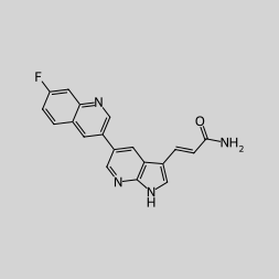 NC(=O)/C=C/c1c[nH]c2ncc(-c3cnc4cc(F)ccc4c3)cc12